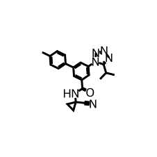 Cc1ccc(-c2cc(C(=O)NC3(C#N)CC3)cc(-n3nnnc3C(C)C)c2)cc1